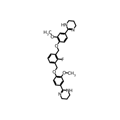 COc1cc(C2=NCCCN2)ccc1OCc1cccc(COc2ccc(C3=NCCCN3)cc2OC)c1F